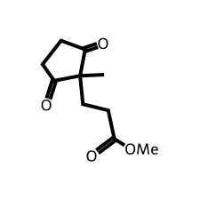 COC(=O)CCC1(C)C(=O)CCC1=O